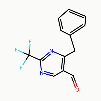 O=Cc1cnc(C(F)(F)F)nc1Cc1ccccc1